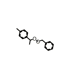 Cc1ccc(C(C)OOCc2ccccc2)cc1